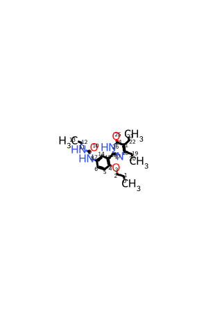 CCCOc1ccc(NC(=O)NCC)cc1-c1nc(CC)c(CC)c(=O)[nH]1